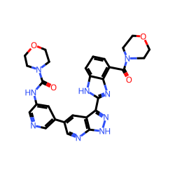 O=C(Nc1cncc(-c2cnc3[nH]nc(-c4nc5c(C(=O)N6CCOCC6)cccc5[nH]4)c3c2)c1)N1CCOCC1